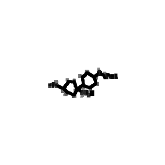 CCCCCOC1CCC(C2(C(=O)O)CCC(CCC)CC2)CC1